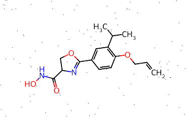 C=CCOc1ccc(C2=NC(C(=O)NO)CO2)cc1C(C)C